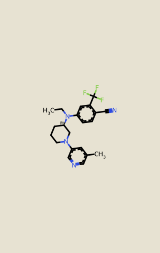 CCN(c1ccc(C#N)c(C(F)(F)F)c1)[C@@H]1CCCN(c2cncc(C)c2)C1